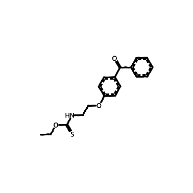 CCOC(=S)NCCOc1ccc(C(=O)c2ccccc2)cc1